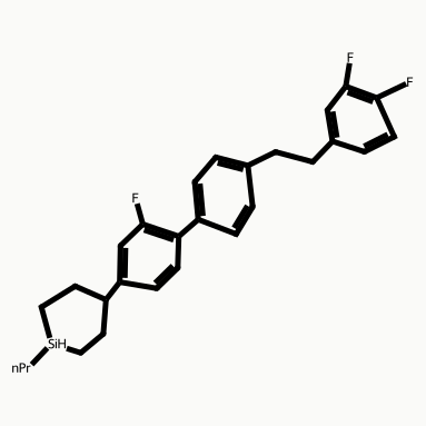 CCC[SiH]1CCC(c2ccc(-c3ccc(CCc4ccc(F)c(F)c4)cc3)c(F)c2)CC1